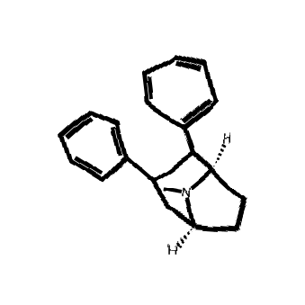 CN1[C@H]2CC[C@@H]1C(c1ccccc1)C(c1ccccc1)C2